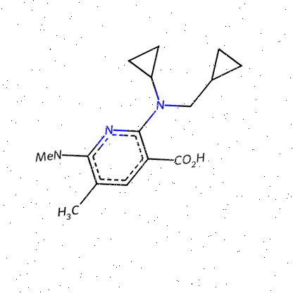 CNc1nc(N(CC2CC2)C2CC2)c(C(=O)O)cc1C